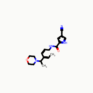 C/C=C(\C=C/CNC(=O)c1cc(C#N)c[nH]1)C(C)N1CCOCC1